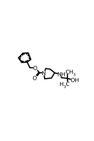 CC(C)(O)CNC1CCN(C(=O)OCc2ccccc2)CC1